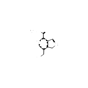 COC(=O)c1ncc(CBr)c2c1C=NC2